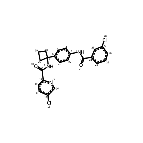 O=C(Nc1ccc(C2(NC(=O)c3ccc(Cl)cn3)CCC2)cc1)c1cccc(Cl)c1